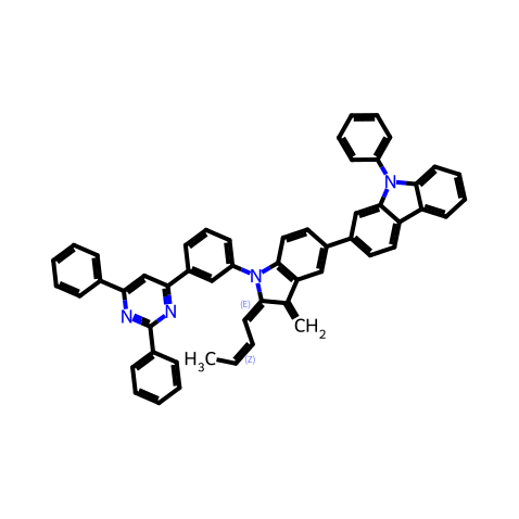 C=c1/c(=C\C=C/C)n(-c2cccc(-c3cc(-c4ccccc4)nc(-c4ccccc4)n3)c2)c2ccc(-c3ccc4c5ccccc5n(-c5ccccc5)c4c3)cc12